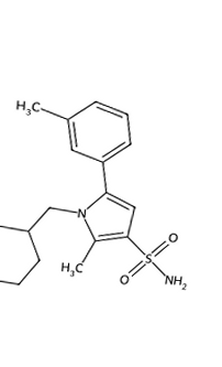 Cc1cccc(-c2cc(S(N)(=O)=O)c(C)n2CC2CCCCC2)c1